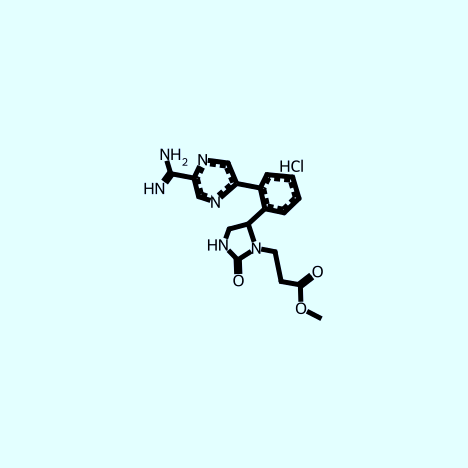 COC(=O)CCN1C(=O)NCC1c1ccccc1-c1cnc(C(=N)N)cn1.Cl